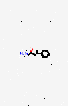 NCc1cc(-c2ccccc2)co1